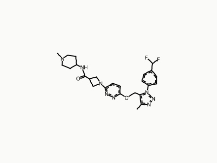 Cc1nnn(-c2ccc(C(F)F)cc2)c1COc1ccc(N2CC(C(=O)NC3CCN(C)CC3)C2)nn1